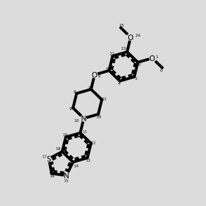 COc1ccc(OC2CCN(c3ccc4ncsc4c3)CC2)cc1OC